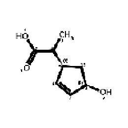 CC(C(=O)O)[C@@H]1C=C[C@H](O)C1